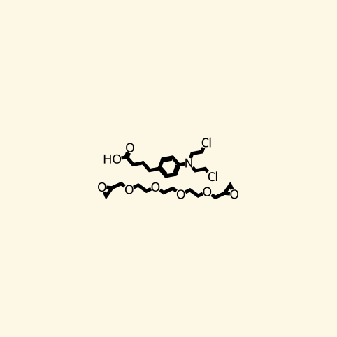 C(COCCOCC1CO1)OCCOCC1CO1.O=C(O)CCCc1ccc(N(CCCl)CCCl)cc1